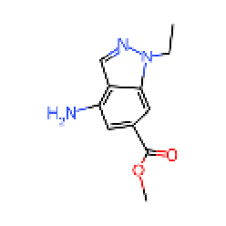 CCn1ncc2c(N)cc(C(=O)OC)cc21